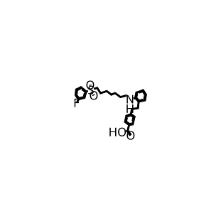 O=C(O)c1ccc(CCc2ccccc2NCCCCCCCS(=O)(=O)c2cccc(F)c2)cc1